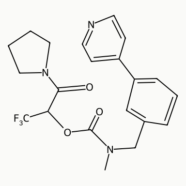 CN(Cc1cccc(-c2ccncc2)c1)C(=O)OC(C(=O)N1CCCC1)C(F)(F)F